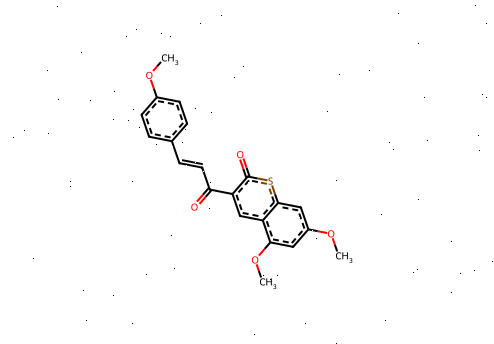 COc1ccc(C=CC(=O)c2cc3c(OC)cc(OC)cc3sc2=O)cc1